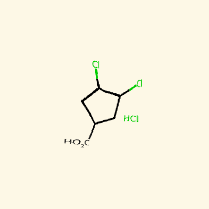 Cl.O=C(O)C1CC(Cl)C(Cl)C1